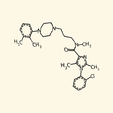 Cc1cccc(N2CCN(CCCN(C)C(=O)c3nc(C)n(-c4ccccc4Cl)c3C)CC2)c1C